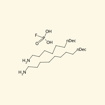 CCCCCCCCCCCCCCCCCCN.CCCCCCCCCCCCCCCCN.O=P(O)(O)F